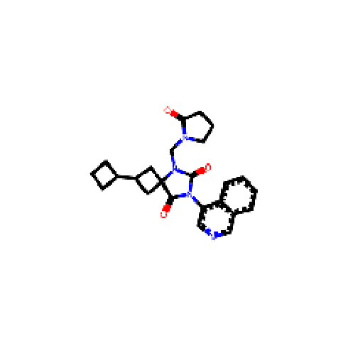 O=C1CCCN1CN1C(=O)N(c2cncc3ccccc23)C(=O)C12CC(C1CCC1)C2